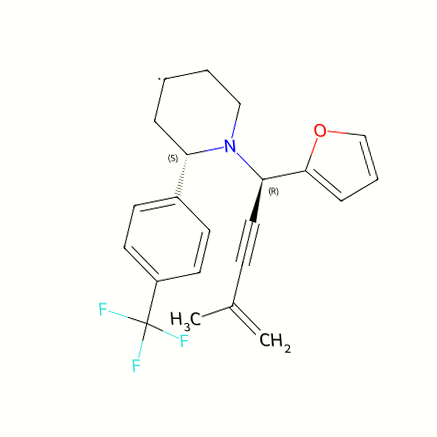 C=C(C)C#C[C@H](c1ccco1)N1CC[CH]C[C@H]1c1ccc(C(F)(F)F)cc1